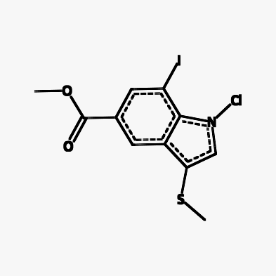 COC(=O)c1cc(I)c2c(c1)c(SC)cn2Cl